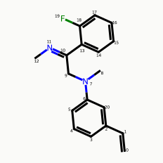 C=Cc1cccc(N(C)C/C(=N\C)c2ccccc2F)c1